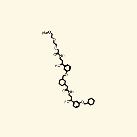 COCCOCCOCC(=O)NCCC(O)c1cccc(OCC2CCCC(CC(=O)NCCC(O)c3cccc(OCC4CCCCC4)c3)C2)c1